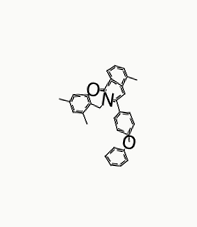 Cc1ccc(Cn2c(-c3ccc(Oc4ccccc4)cc3)cc3c(C)cccc3c2=O)c(C)c1